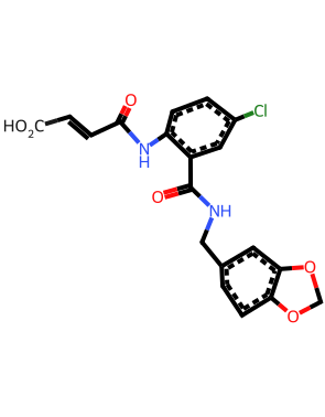 O=C(O)C=CC(=O)Nc1ccc(Cl)cc1C(=O)NCc1ccc2c(c1)OCO2